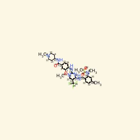 COc1cc(C(=O)NC2CCN(C)CC2)ccc1Nc1ncc(C(F)(F)F)c(NCc2ccc(C)cc2N(C)S(C)(=O)=O)n1